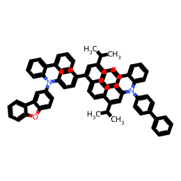 CC(C)c1cc(-c2ccc(N(c3ccc4oc5ccccc5c4c3)c3ccccc3-c3ccccc3)cc2)c2ccc3c(C(C)C)cc(N(c4ccc(-c5ccccc5)cc4)c4ccccc4-c4ccccc4)c4ccc1c2c34